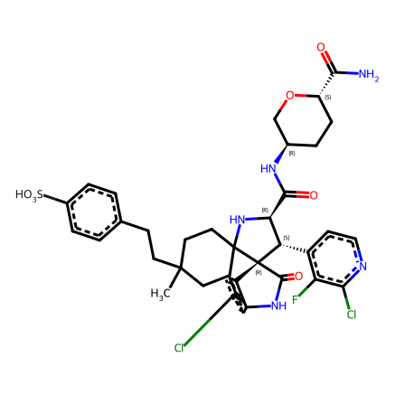 CC1(CCc2ccc(S(=O)(=O)O)cc2)CCC2(CC1)N[C@@H](C(=O)N[C@@H]1CC[C@@H](C(N)=O)OC1)[C@H](c1ccnc(Cl)c1F)[C@]21C(=O)Nc2cc(Cl)ccc21